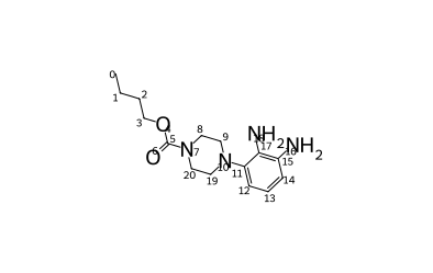 CCCCOC(=O)N1CCN(c2cccc(N)c2N)CC1